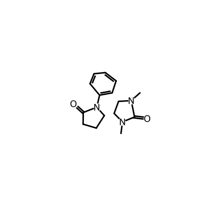 CN1CCN(C)C1=O.O=C1CCCN1c1ccccc1